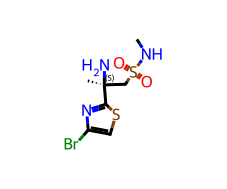 CNS(=O)(=O)C[C@](C)(N)c1nc(Br)cs1